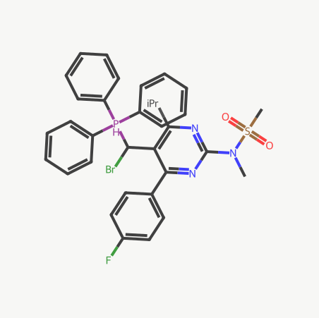 CC(C)c1nc(N(C)S(C)(=O)=O)nc(-c2ccc(F)cc2)c1C(Br)[PH](c1ccccc1)(c1ccccc1)c1ccccc1